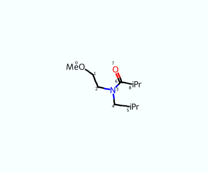 COCCN(CC(C)C)C(=O)C(C)C